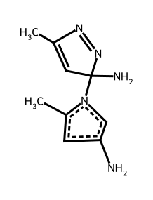 CC1=CC(N)(n2cc(N)cc2C)N=N1